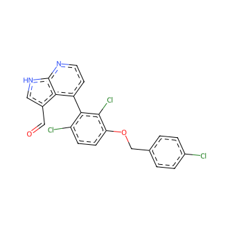 O=Cc1c[nH]c2nccc(-c3c(Cl)ccc(OCc4ccc(Cl)cc4)c3Cl)c12